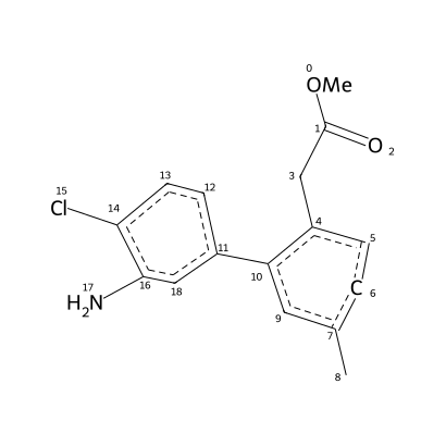 COC(=O)Cc1ccc(C)cc1-c1ccc(Cl)c(N)c1